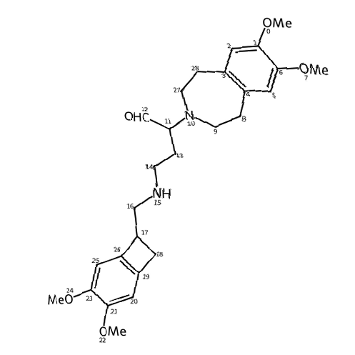 COc1cc2c(cc1OC)CCN(C(C=O)CCNCC1Cc3cc(OC)c(OC)cc31)CC2